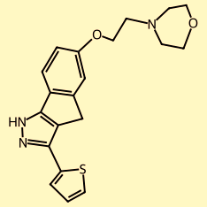 c1csc(-c2n[nH]c3c2Cc2cc(OCCN4CCOCC4)ccc2-3)c1